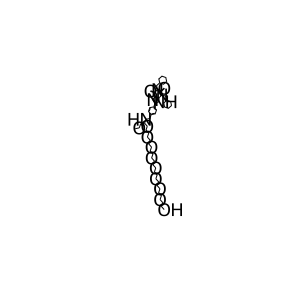 COCC(NCc1ccc(-c2nc3c(=O)n(CC4CCCCC4)c(=O)n(CC4CCCCC4)c3[nH]2)cc1)OCCOCCOCCOCCOCCOCCOCCOCCO